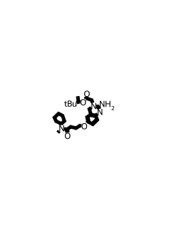 CC(OC(=O)CN1Cc2cc(OCCCC(=O)N(C)C3CCCCC3)ccc2N=C1N)C(C)(C)C